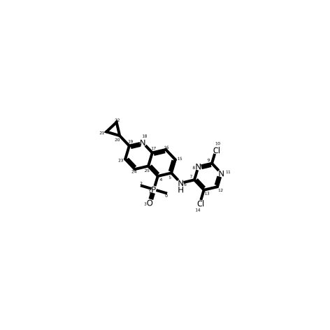 CP(C)(=O)c1c(Nc2nc(Cl)ncc2Cl)ccc2nc(C3CC3)ccc12